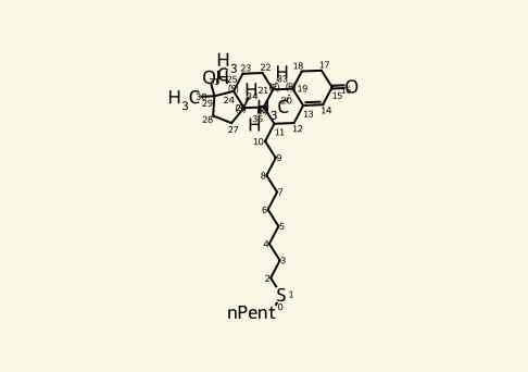 CCCCCSCCCCCCCCCC1CC2=CC(=O)CC[C@]2(C)[C@@H]2CC[C@@]3(C)[C@@H](CCC3(C)O)[C@H]12